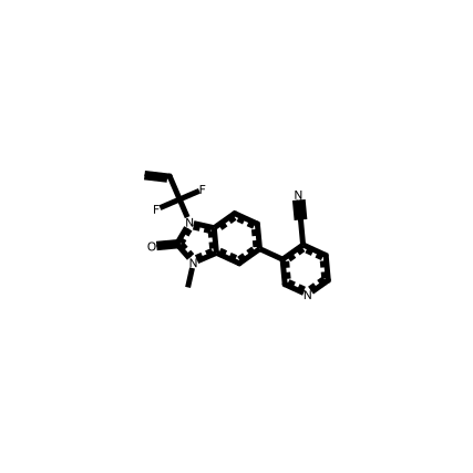 C=CC(F)(F)n1c(=O)n(C)c2cc(-c3cnccc3C#N)ccc21